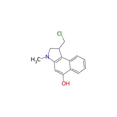 CN1CC(CCl)c2c1cc(O)c1ccccc21